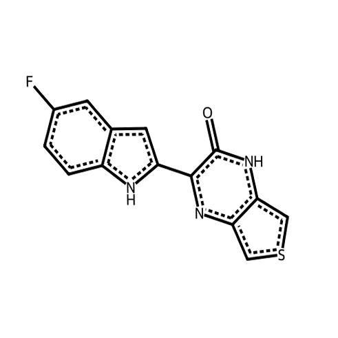 O=c1[nH]c2cscc2nc1-c1cc2cc(F)ccc2[nH]1